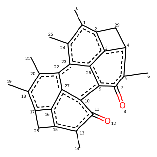 Cc1c2c3c(c(C)c(=O)c4c5c(=O)c(C)c6c7c(c(C)c(C)c(c(c1C)c34)c75)C6)C2